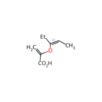 C=C(O/C(=C\C)CC)C(=O)O